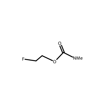 CNC(=O)OCCF